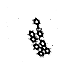 c1ccc(-c2nc3ccc(N(c4ccc5c(c4)C(c4ccccc4)(c4ccccc4)c4ccccc4-5)c4cccc5ccccc45)cc3s2)cc1